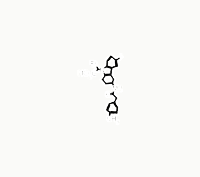 CCC(C(=O)O)n1c2c(c3cc(F)ccc31)CC(NC(=O)Cc1ccc(C)cc1)CC2